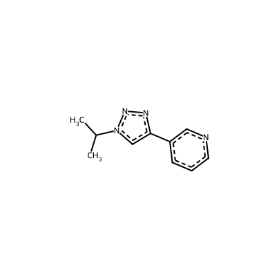 CC(C)n1cc(-c2cccnc2)nn1